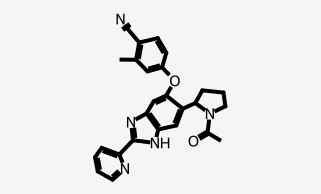 CC(=O)N1CCCC1c1cc2[nH]c(-c3ccccn3)nc2cc1Oc1ccc(C#N)c(C)c1